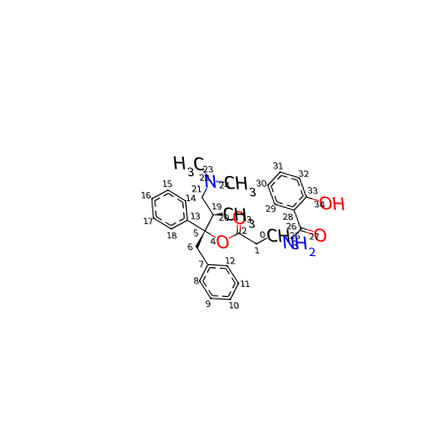 CCC(=O)O[C@](Cc1ccccc1)(c1ccccc1)[C@H](C)CN(C)C.NC(=O)c1ccccc1O